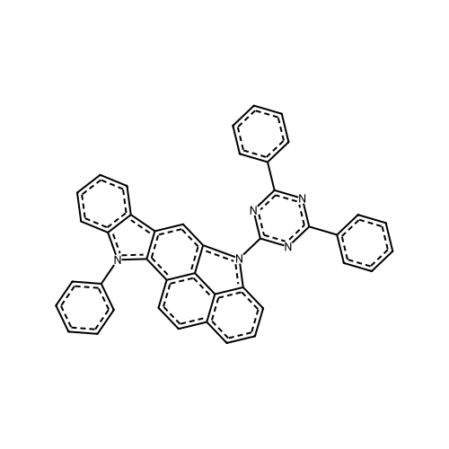 c1ccc(-c2nc(-c3ccccc3)nc(-n3c4cccc5ccc6c(c54)c3cc3c4ccccc4n(-c4ccccc4)c36)n2)cc1